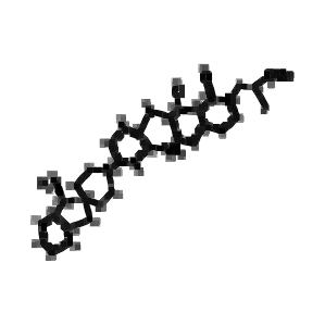 COC(C)Cn1ccc2ccc(Sc3ncc(N4CCC5(CC4)Cc4ccccc4[C@H]5N)nc3N)c(Cl)c2c1=O